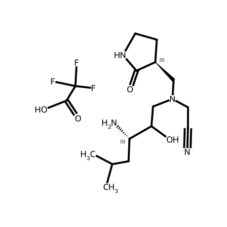 CC(C)C[C@H](N)C(O)CN(CC#N)C[C@@H]1CCNC1=O.O=C(O)C(F)(F)F